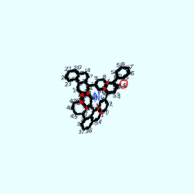 c1ccc(N(c2ccccc2-c2cccc3c2ccc2ccccc23)c2ccccc2-c2cccc3cccc(C4CCCCC4)c23)c(-c2ccc3c(c2)oc2ccccc23)c1